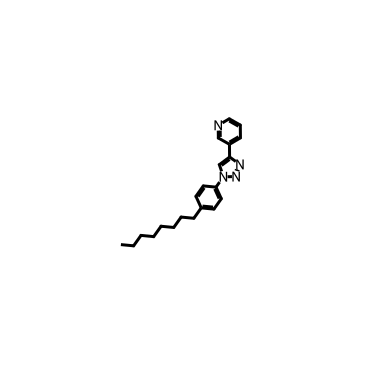 CCCCCCCCc1ccc(-n2cc(-c3cccnc3)nn2)cc1